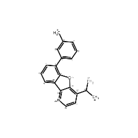 Cc1cccc(-c2cccc3c2oc2c(C(C)C)ccnc23)c1